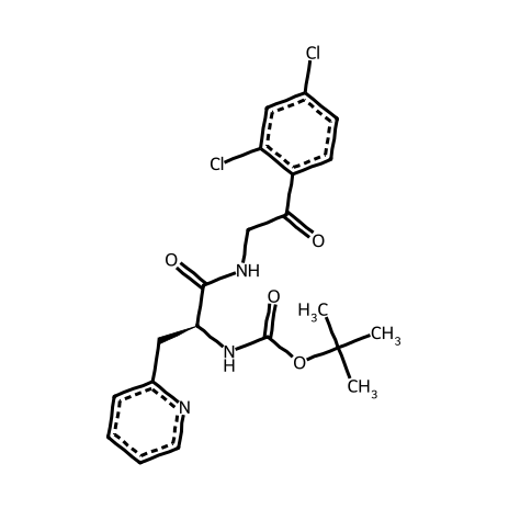 CC(C)(C)OC(=O)N[C@@H](Cc1ccccn1)C(=O)NCC(=O)c1ccc(Cl)cc1Cl